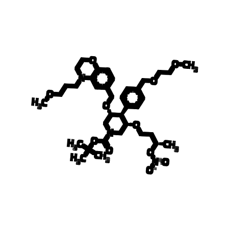 COCCCN1CCOc2ccc(CO[C@H]3CN(C(=O)OC(C)(C)C)C[C@@H](OCC[C@H](C)O[N+](=O)[O-])[C@@H]3c3ccc(COCCOC)cc3)cc21